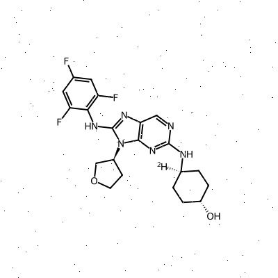 [2H][C@]1(Nc2ncc3nc(Nc4c(F)cc(F)cc4F)n([C@H]4CCOC4)c3n2)CC[C@H](O)CC1